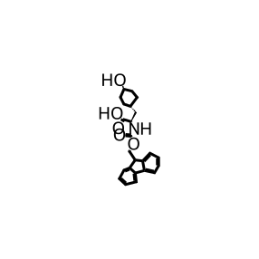 O=C(N[C@H](C[C@H]1CC[C@@H](O)CC1)C(=O)O)OCC1c2ccccc2-c2ccccc21